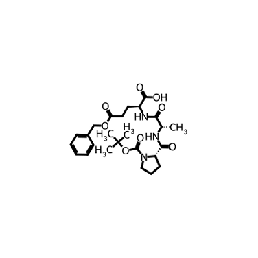 C[C@H](NC(=O)[C@@H]1CCCN1C(=O)OC(C)(C)C)C(=O)N[C@@H](CCC(=O)OCc1ccccc1)C(=O)O